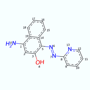 Nc1cc(O)c(N=Nc2ccccn2)c2ccccc12